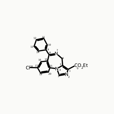 CCOC(=O)c1ncn2c1CN=C(c1ccccc1)c1cc(Cl)ccc1-2